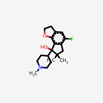 CN1CCC(C2(O)c3c(c(F)cc4c3OCC4)CC2(C)C)CC1